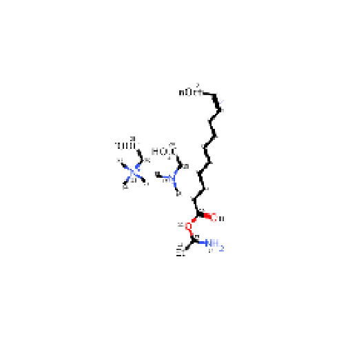 CCCCCCCC/C=C\CCCCCCCC(=O)OC(N)CC.CN(C)CC(=O)O.C[N+](C)(C)CC(=O)[O-]